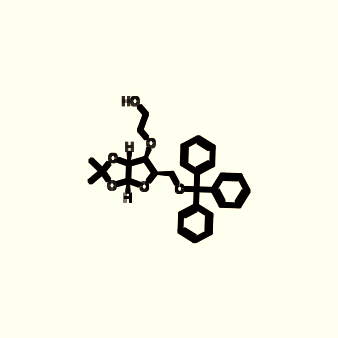 CC1(C)O[C@H]2O[C@H](COC(c3ccccc3)(c3ccccc3)c3ccccc3)[C@H](OCCO)[C@H]2O1